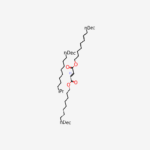 CCCCCCCCCCCCCCCCCCC(C)C.CCCCCCCCCCCCCCCCCCOC(=O)/C=C/C(=O)OCCCCCCCCCCCCCCCCCC